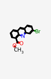 COC(=O)c1cccc2cc3ccc(Br)cc3nc12